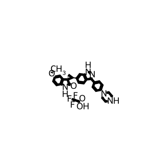 COc1ccc2c(c1)[C@]1(C[C@H]1c1ccc3c(-c4ccc(N5CCNCC5)cc4)n[nH]c3c1)C(=O)N2.O=C(O)C(F)(F)F